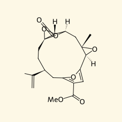 C=C(C)[C@H]1CC[C@@]23O[C@@H]2[C@@H](C[C@]2(C)O[C@H]2c2cc(C(=O)OC)c(o2)C1)OC3=O